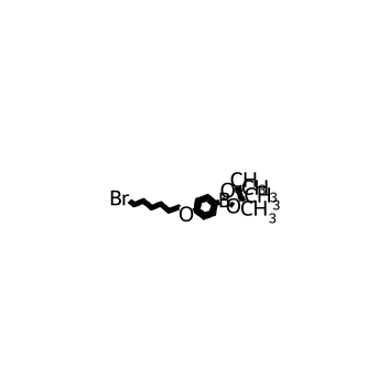 CC1(C)OB(c2ccc(OCCCCCCBr)cc2)OC1(C)C